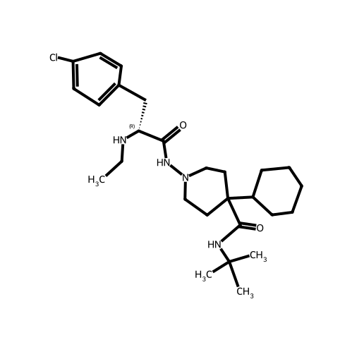 CCN[C@H](Cc1ccc(Cl)cc1)C(=O)NN1CCC(C(=O)NC(C)(C)C)(C2CCCCC2)CC1